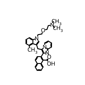 Cc1cccc2c1c(Cc1c(-c3ccc4ccccc4c3C(=O)O)nc3ccccn13)cn2CCOCCN(C)C